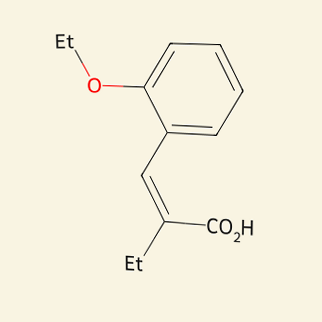 CCOc1ccccc1C=C(CC)C(=O)O